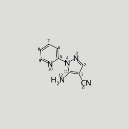 N#Cc1cnn(-c2ccccn2)c1N